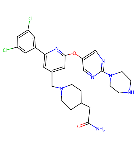 NC(=O)CC1CCN(Cc2cc(Oc3cnc(N4CCNCC4)nc3)nc(-c3cc(Cl)cc(Cl)c3)c2)CC1